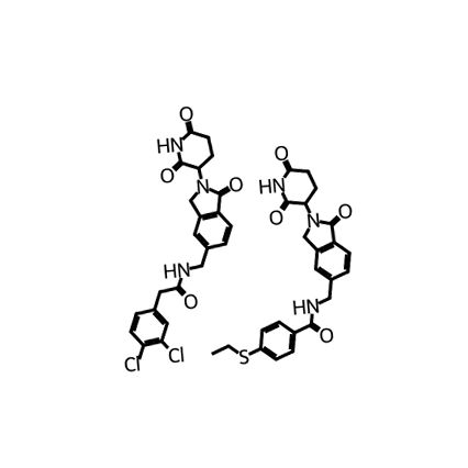 CCSc1ccc(C(=O)NCc2ccc3c(c2)CN(C2CCC(=O)NC2=O)C3=O)cc1.O=C(Cc1ccc(Cl)c(Cl)c1)NCc1ccc2c(c1)CN(C1CCC(=O)NC1=O)C2=O